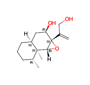 C=C(CO)[C@@]12O[C@@H]1[C@]1(C)[C@@H](CCC[C@H]1C)C[C@H]2O